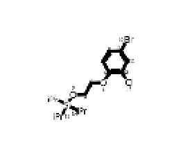 CC(C)[Si](OCCOc1ccc(Br)cc1Cl)(C(C)C)C(C)C